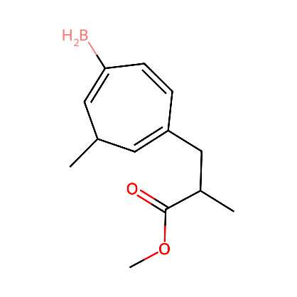 BC1=CC(C)C=C(CC(C)C(=O)OC)C=C1